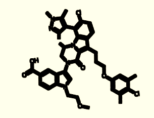 COCCn1cc(N2CC(C)n3c(c(CCCOc4cc(C)c(Cl)c(C)c4)c4ccc(Cl)c(-c5c(C)nn(C)c5C)c43)C2=O)c2cc(C(=O)O)ccc21